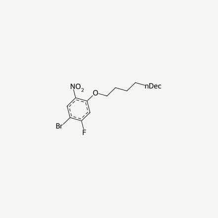 CCCCCCCCCCCCCCOc1cc(F)c(Br)cc1[N+](=O)[O-]